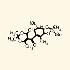 CC1=C(C(=O)C2=C(C)C(O[Si](C)(C)C(C)(C)C)C[C@@H](C(C)(C)C)C2)C(O)OC(C)(C)O1